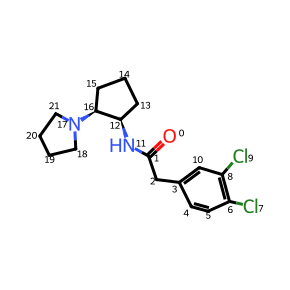 O=C(Cc1ccc(Cl)c(Cl)c1)N[C@@H]1CCC[C@@H]1N1CCCC1